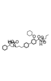 CCCS(=O)(=O)NC(=O)c1ccc(-c2ccc(CCCN(C[C@H](O)c3ccccc3)C(=O)O)cc2)cc1OC1CCCCC1